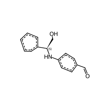 O=Cc1ccc(N[C@H](CO)c2ccccc2)cc1